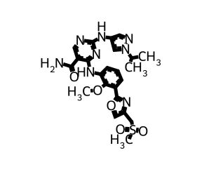 COc1c(Nc2nc(Nc3cnn(C(C)C)c3)ncc2C(N)=O)cccc1-c1nc(CS(C)(=O)=O)co1